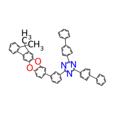 CC1(C)c2ccccc2-c2cc3c(cc21)Oc1cc(-c2cccc(-c4nc(-c5ccc(-c6ccccc6)cc5)nc(-c5ccc(-c6ccccc6)cc5)n4)c2)ccc1O3